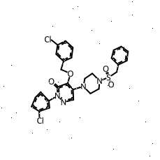 O=c1c(OCc2cccc(Cl)c2)c(N2CCN(S(=O)(=O)Cc3ccccc3)CC2)cnn1-c1cccc(Cl)c1